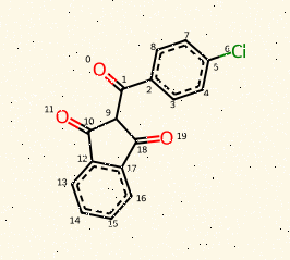 O=C(c1ccc(Cl)cc1)C1C(=O)c2ccccc2C1=O